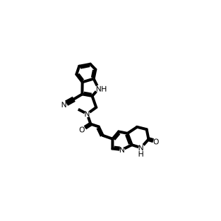 CN(Cc1[nH]c2ccccc2c1C#N)C(=O)C=Cc1cnc2c(c1)CCC(=O)N2